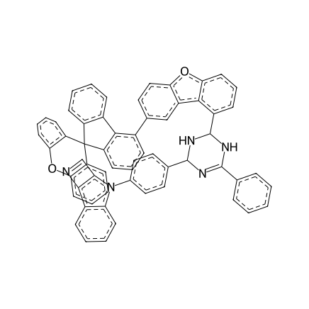 C1=Nc2c1n(-c1ccc(C3N=C(c4ccccc4)NC(c4cccc5oc6ccc(-c7cccc8c7-c7ccccc7C87c8ccccc8Oc8ccccc87)cc6c45)N3)cc1)c1ccccc21